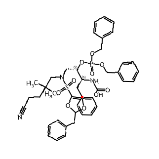 CC(C)(CCC#N)CN(C[C@H](OP(=O)(OCc1ccccc1)OCc1ccccc1)[C@H](Cc1ccccc1)NC(=O)O)S(=O)(=O)C1=COC(Cc2ccccc2)O1